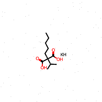 CCCCCC(C(=O)O)(C(=O)O)C(C)C.[KH]